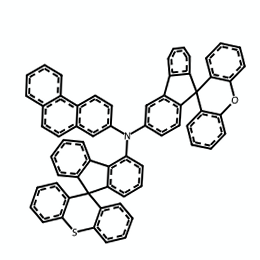 c1ccc2c(c1)Oc1ccccc1C21c2ccccc2-c2cc(N(c3ccc4c(ccc5ccccc54)c3)c3cccc4c3-c3ccccc3C43c4ccccc4Sc4ccccc43)ccc21